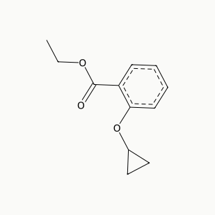 CCOC(=O)c1ccccc1OC1CC1